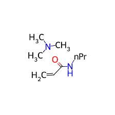 CN(C)C.[CH2]CCNC(=O)C=C